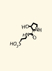 O=C(NCCS(=O)(=O)O)[C@H]1NCCC1O